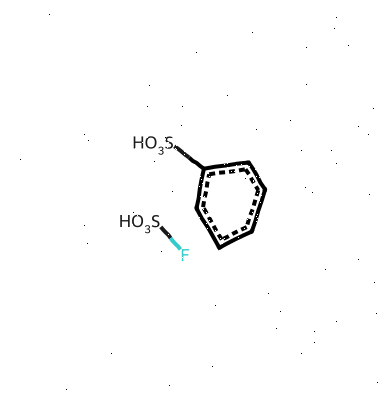 O=S(=O)(O)F.O=S(=O)(O)c1ccccc1